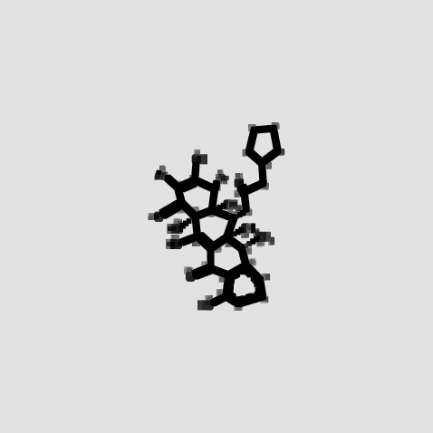 CC(=O)C1=C(O)C(C(C)C)[C@@]2(C)[C@H](CC(=O)CC3CCCC3)[C@]3(C)C(=C(O)[C@@]2(O)C1=O)C(=O)c1c(O)cccc1[C@H]3C